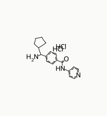 Cl.Cl.NC(c1ccc(C(=O)Nc2ccncc2)cc1)C1CCCC1